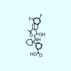 CC(=O)NC(Cc1cc(F)cc(F)c1)C(O)CNC1(c2cccc(C(=O)O)c2)CCCCC1